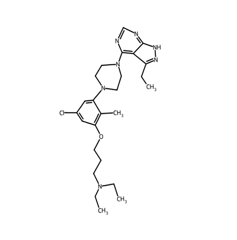 CCc1n[nH]c2ncnc(N3CCN(c4cc(Cl)cc(OCCCN(CC)CC)c4C)CC3)c12